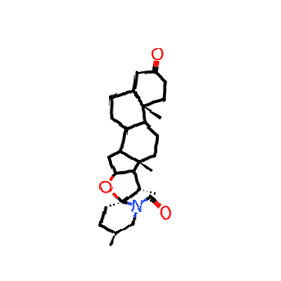 C[C@H]1CC[C@@]2(OC3CC4C5CCC6CC(=O)CC[C@]6(C)C5CC[C@]4(C)C3[C@@H]2C)N(C=O)C1